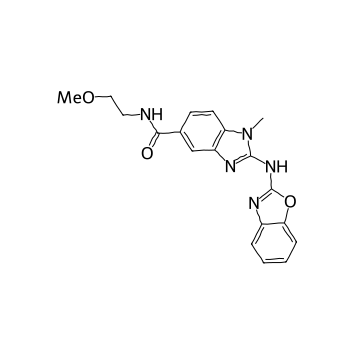 COCCNC(=O)c1ccc2c(c1)nc(Nc1nc3ccccc3o1)n2C